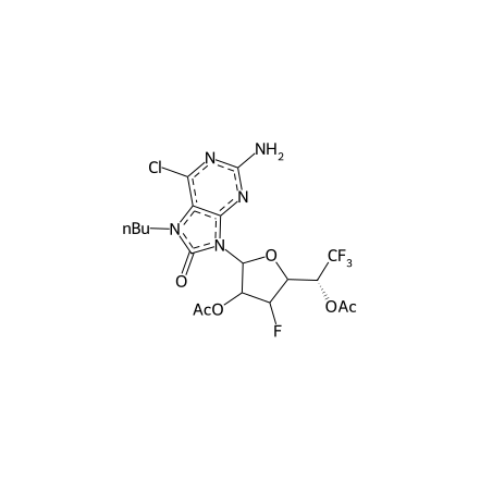 CCCCn1c(=O)n(C2OC([C@@H](OC(C)=O)C(F)(F)F)C(F)C2OC(C)=O)c2nc(N)nc(Cl)c21